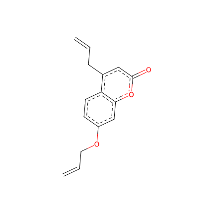 C=CCOc1ccc2c(CC=C)cc(=O)oc2c1